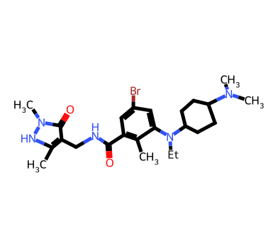 CCN(c1cc(Br)cc(C(=O)NCc2c(C)[nH]n(C)c2=O)c1C)C1CCC(N(C)C)CC1